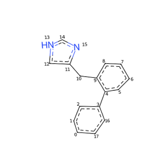 c1ccc(-c2ccccc2Cc2c[nH]cn2)cc1